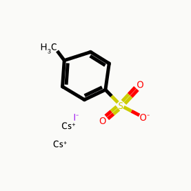 Cc1ccc(S(=O)(=O)[O-])cc1.[Cs+].[Cs+].[I-]